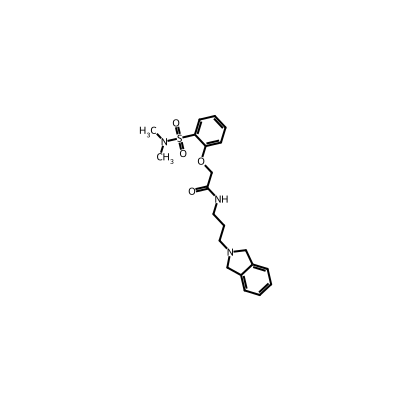 CN(C)S(=O)(=O)c1ccccc1OCC(=O)NCCCN1Cc2ccccc2C1